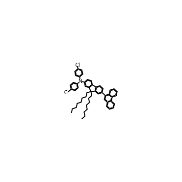 CCCCCCCCC1(CCCCCCCC)c2cc(-c3cc4ccccc4c4ccccc34)ccc2-c2ccc(N(c3ccc(Cl)cc3)c3ccc(Cl)cc3)cc21